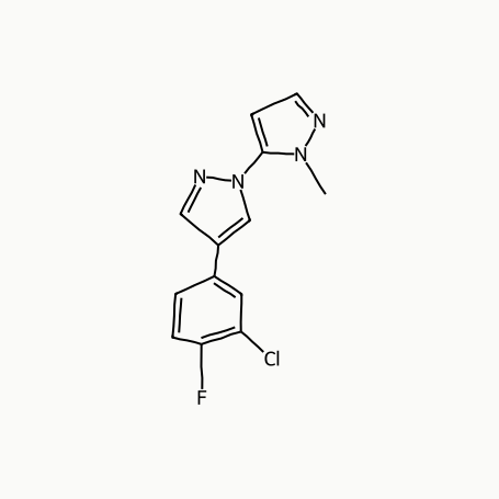 Cn1nccc1-n1cc(-c2ccc(F)c(Cl)c2)cn1